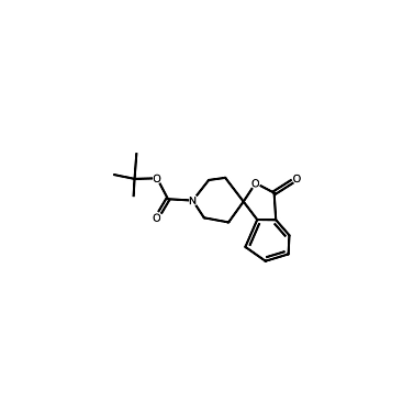 CC(C)(C)OC(=O)N1CCC2(CC1)OC(=O)c1ccccc12